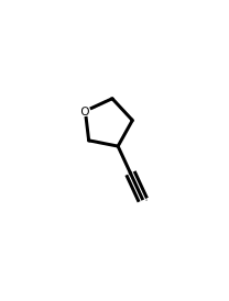 [C]#CC1CCOC1